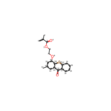 C=C(C)C(=O)OCCOc1cc(C)cc2c(=O)c3ccccc3sc12